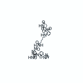 CNC(=O)c1nnc(NC(=O)CNC(=O)CCCCCNc2cccc3c2C(=O)N(C2CCC(=O)NC2=O)C3=O)cc1Nc1cccc(-c2ncn(C)n2)c1OC